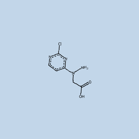 NN(CC(=O)O)c1ccnc(Cl)n1